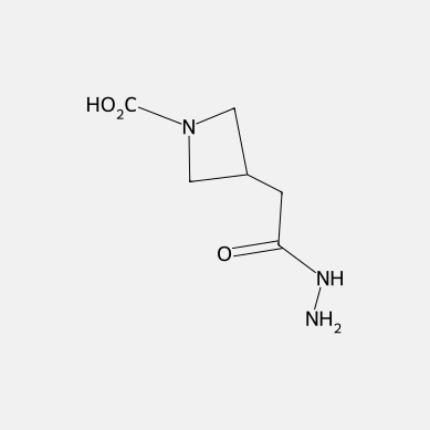 NNC(=O)CC1CN(C(=O)O)C1